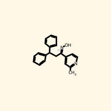 Cc1cc(/C(CC(c2ccccc2)c2ccccc2)=N\O)ccn1